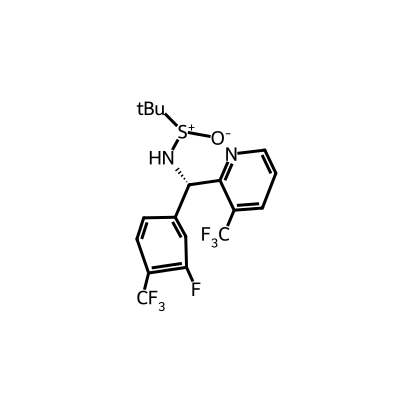 CC(C)(C)[S+]([O-])N[C@@H](c1ccc(C(F)(F)F)c(F)c1)c1ncccc1C(F)(F)F